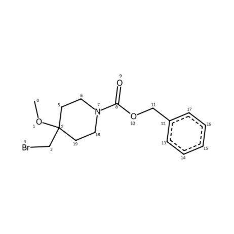 COC1(CBr)CCN(C(=O)OCc2ccccc2)CC1